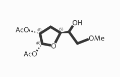 COCC(O)[C@@H]1C[C@@H](OC(C)=O)[C@@H](OC(C)=O)O1